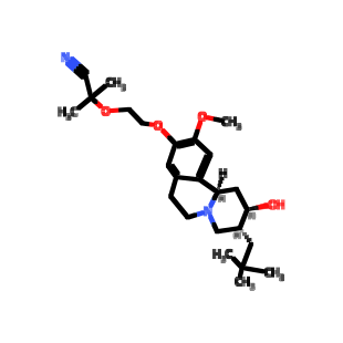 COc1cc2c(cc1OCCOC(C)(C)C#N)CCN1C[C@@H](CC(C)(C)C)[C@H](O)C[C@H]21